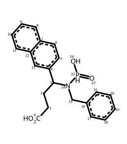 O=C(O)CCC(c1ccc2ccccc2c1)N(Cc1ccccc1)[PH](=O)O